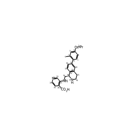 Cc1cc(OC(C)C)ccc1-c1ccc2c(c1)CCN[C@H]2CNc1cnccc1C(=O)O